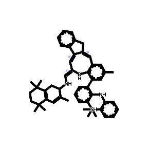 CC1=CC2=C(CC1N\C=C1Bc3c(cc(C)cc3-c3cccc4c3Nc3ccccc3[SH]4(C)(C)C)/C=C3/Cc4ccccc4/C3=C/1)C(C)(C)CCC2(C)C